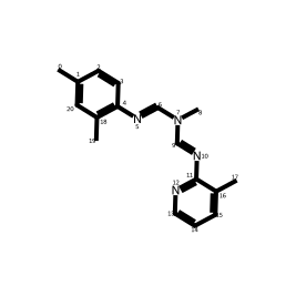 Cc1ccc(N=CN(C)C=Nc2ncccc2C)c(C)c1